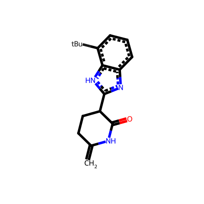 C=C1CCC(c2nc3cccc(C(C)(C)C)c3[nH]2)C(=O)N1